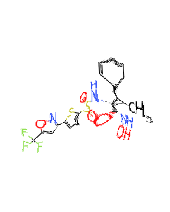 CC1[C@H](c2ccccc2)[C@]1(NS(=O)(=O)c1ccc(-c2cc(C(F)(F)F)on2)s1)C(=O)NO